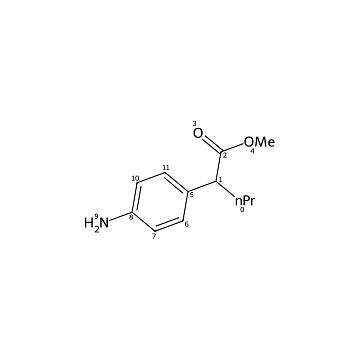 CCCC(C(=O)OC)c1ccc(N)cc1